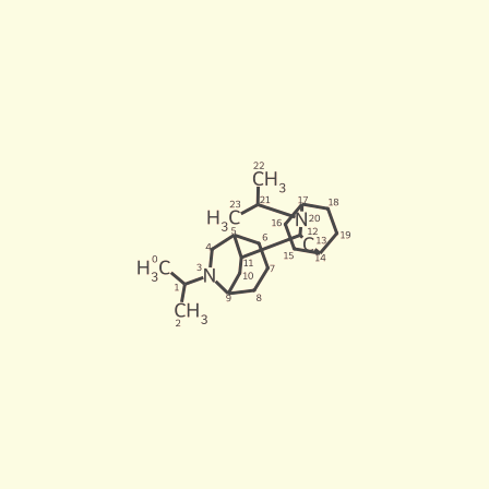 CC(C)N1CC2CCCC1CC2C1CC2CCC(CC2)N1C(C)C